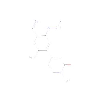 Cc1cc(C=N)c(NPI)cc1-c1ccn(C)c(=O)c1